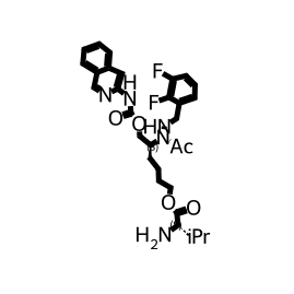 CC(=O)N(NCc1cccc(F)c1F)[C@@H](CCCCOC(=O)[C@@H](N)C(C)C)COC(=O)Nc1cc2ccccc2cn1